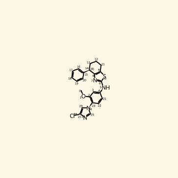 COc1cc(Nc2nc3c(s2)CCC[C@@H]3c2ccccc2)ccc1-n1cnc(Cl)c1